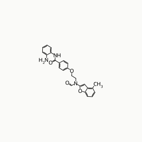 Cc1cccc2oc(N(C=O)CCOc3ccc(C(=O)Nc4ccccc4N)cc3)cc12